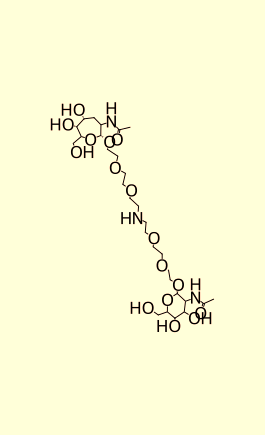 CC(=O)NC1C[C@@H](O)[C@@H](O)C(CO)O[C@H]1OCCOCCOCCNCCOCCOCCO[C@@H]1OC(CO)[C@H](O)C(O)C1NC(C)=O